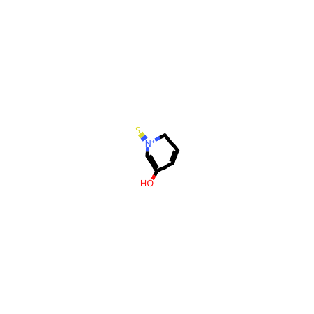 OC1=C[N+](=S)CC=C1